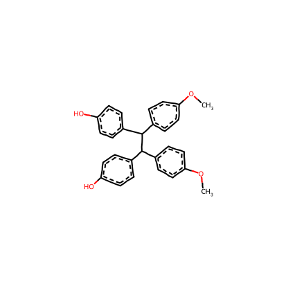 COc1ccc(C(c2ccc(O)cc2)C(c2ccc(O)cc2)c2ccc(OC)cc2)cc1